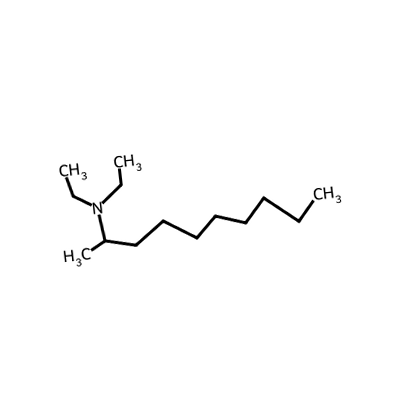 CCCCCCCCC(C)N(CC)CC